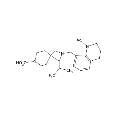 CC(=O)N1CCCc2cccc(CN3CC4(CCN(C(=O)O)CC4)C3C(C(F)(F)F)C(F)(F)F)c21